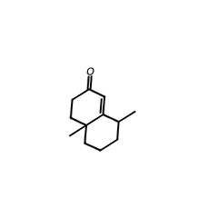 CC1CCCC2(C)CCC(=O)C=C12